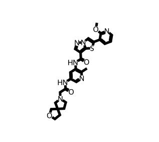 COc1ncccc1-c1cn2ncc(C(=O)Nc3cc(NC(=O)CN4CCC5(CCOC5)C4)cnc3C)c2s1